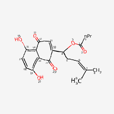 CCCC(=O)OC(CC=C(C)C)C1=CC(=O)c2c(O)ccc(O)c2C1=O